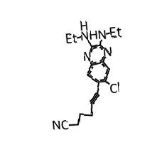 CCNc1nc2cc(Cl)c(C#CCCCC#N)cc2nc1NCC